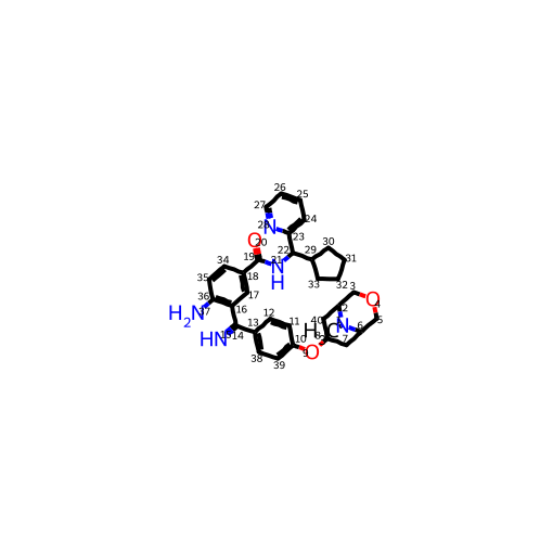 CN1C2COCC1CC(Oc1ccc(C(=N)c3cc(C(=O)NC(c4ccccn4)C4CCCC4)ccc3N)cc1)C2